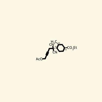 CCOC(=O)[C@H]1CC[C@H](C(C#N)(C#N)CC#CCOC(C)=O)[C@H](C)C1